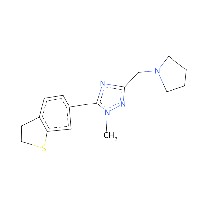 Cn1nc(CN2CCCC2)nc1-c1ccc2c(c1)SCC2